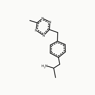 Cc1nnc(Cc2ccc(CC(C)N)cc2)nn1